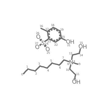 CCCCCCCC[N+](C)(CCO)CCO.Cc1ccc(O)cc1S(=O)(=O)[O-]